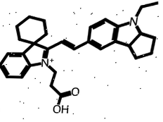 CCN1c2ccc(/C=C/C3=[N+](CCC(=O)O)c4ccccc4C34CCCCC4)cc2C2CCCC21